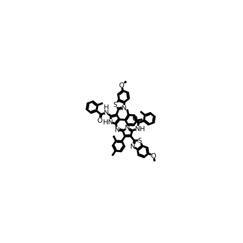 COc1ccc2nc(C3=C(c4ccc(C)cc4C)/C(=N/c4[nH]c(NC(=O)c5ccccc5C)c(-c5nc6ccc(OC)cc6s5)c4-c4ccc(C)cc4C)N=C3NC(=O)c3ccccc3C)sc2c1